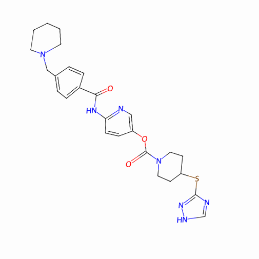 O=C(Nc1ccc(OC(=O)N2CCC(Sc3nc[nH]n3)CC2)cn1)c1ccc(CN2CCCCC2)cc1